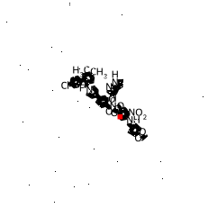 CC1(C)CCC(CN2CC=C(c3ccc(C(=O)NS(=O)(=O)c4ccc(NCC5CCC6(CC5)OCCO6)c([N+](=O)[O-])c4)c(Oc4cnc5[nH]ccc5c4)c3)CC2)=C(c2ccc(Cl)cc2F)C1